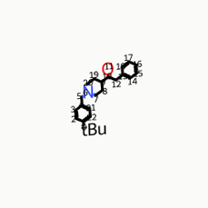 CC(C)(C)c1ccc(CN2CCC(C(=O)Cc3ccccc3)CC2)cc1